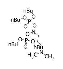 CCCCOP(=O)(OCCCC)ON(CCCN(C)C)OP(=O)(OCCCC)OCCCC